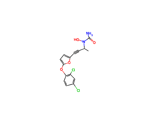 CC(C#Cc1ccc(Oc2ccc(Cl)cc2Cl)o1)N(O)C(N)=O